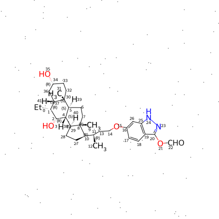 CC[C@H]1[C@@H](O)[C@@H]2[C@H](CC[C@]3(C)[C@@H]([C@H](C)CCOc4ccc5c(OC=O)n[nH]c5c4)CC[C@@H]23)[C@@]2(C)CC[C@@H](O)C[C@@H]12